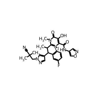 CC(c1nc(C(=O)Nc2cnoc2)c(O)c(=O)n1C)C(c1cnn(CC(C)(C)C#N)c1)c1cc(F)ccc1Cl